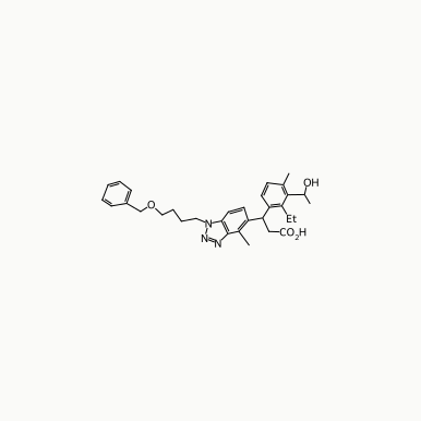 CCc1c(C(CC(=O)O)c2ccc3c(nnn3CCCCOCc3ccccc3)c2C)ccc(C)c1C(C)O